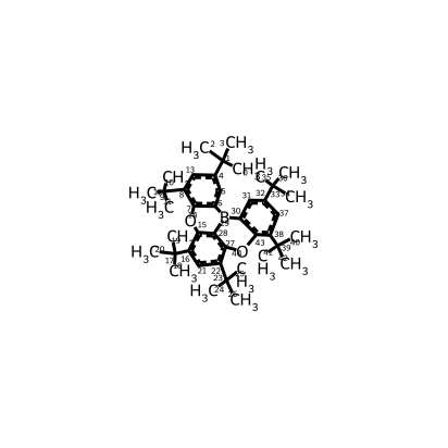 CC(C)(C)c1cc2c(c(C(C)(C)C)c1)Oc1c(C(C)(C)C)cc(C(C)(C)C)c3c1B2c1cc(C(C)(C)C)cc(C(C)(C)C)c1O3